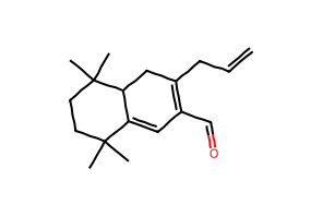 C=CCC1=C(C=O)C=C2C(C1)C(C)(C)CCC2(C)C